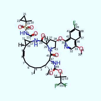 CC[C@@H]1C[C@@H](C)CC/C=C\[C@@H]2C[C@@]2(C(=O)NS(=O)(=O)C2(C)CC2)NC(=O)[C@@H]2C[C@@H](Oc3ncc(OC)c4ccc(F)cc34)CN2C(=O)[C@H]1NC(=O)OC(C)(C)C(F)F